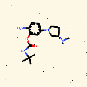 CN(C)[C@@H]1CCN(c2ccc(N)c(OC(=O)NC(C)(C)C)c2)C1